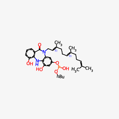 CCCCOP(O)Oc1cc(O)c2c(c1)N(C/C=C(\C)CC/C=C(\C)CCC=C(C)C)C(=O)c1cccc(O)c1N2